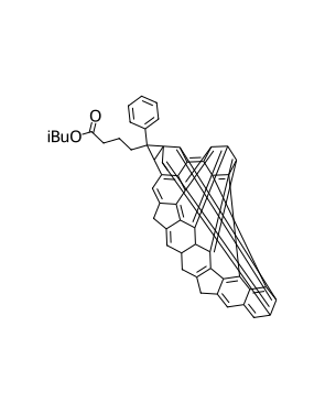 CC(C)COC(=O)CCCC1(c2ccccc2)C2c3cc4c5c6c7c8c9c%10c%11c%12c(cc%13cc%14c%15c(c%16c3c5c8c%16c3c%15c%13c%12c93)C21C=%14)CC=%11CC(C=C6C4)C7%10